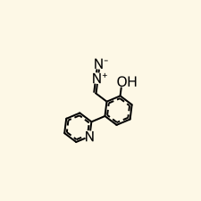 [N-]=[N+]=Cc1c(O)cccc1-c1ccccn1